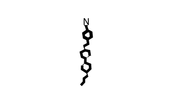 CCCC[C@H]1CC[C@H]([C@H]2CC[C@H](CCc3ccc(C#N)cc3)CC2)CC1